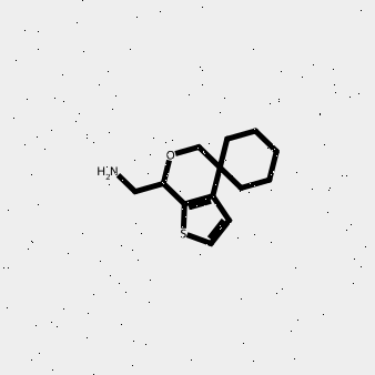 NCC1OCC2(CCCCC2)c2ccsc21